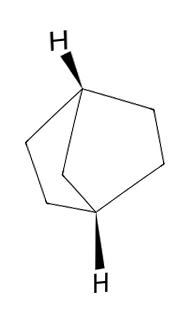 C1C[C@H]2CC[C@@H]1C2